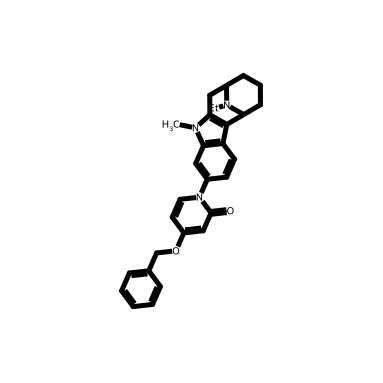 CCN1C2CCCC1c1c(n(C)c3cc(-n4ccc(OCc5ccccc5)cc4=O)ccc13)C2